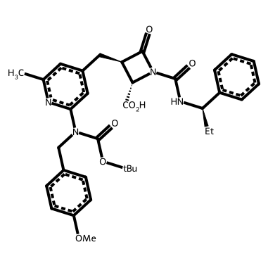 CC[C@@H](NC(=O)N1C(=O)[C@H](Cc2cc(C)nc(N(Cc3ccc(OC)cc3)C(=O)OC(C)(C)C)c2)[C@H]1C(=O)O)c1ccccc1